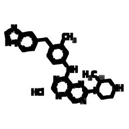 Cc1cc(Nc2ncnc3cnc(N4CCNC[C@@H]4C)nc23)ccc1Cc1ccn2ncnc2c1.Cl